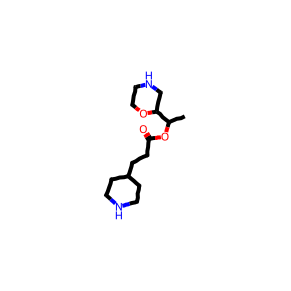 CC(OC(=O)CCC1CCNCC1)C1CNCCO1